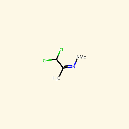 CNN=C(C)C(Cl)Cl